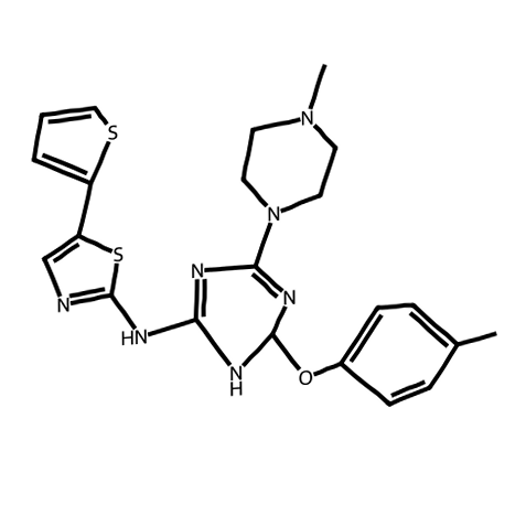 Cc1ccc(OC2N=C(N3CCN(C)CC3)N=C(Nc3ncc(-c4cccs4)s3)N2)cc1